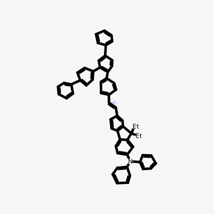 CCC1(CC)c2cc(/C=C/c3ccc(-c4ccc(-c5ccccc5)cc4-c4ccc(-c5ccccc5)cc4)cc3)ccc2-c2ccc(N(c3ccccc3)c3ccccc3)cc21